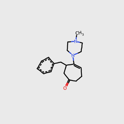 CN1CCN(C2=CCCC(=O)CC2Cc2ccccc2)CC1